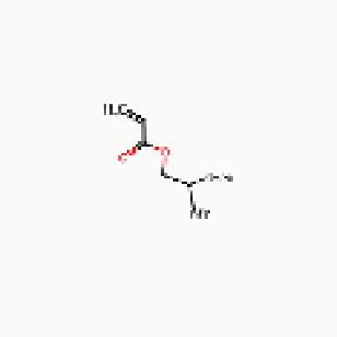 C=CC(=O)OCC(CCC)CCCCCC